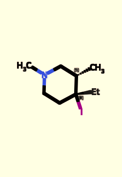 CC[C@@]1(I)CCN(C)C[C@@H]1C